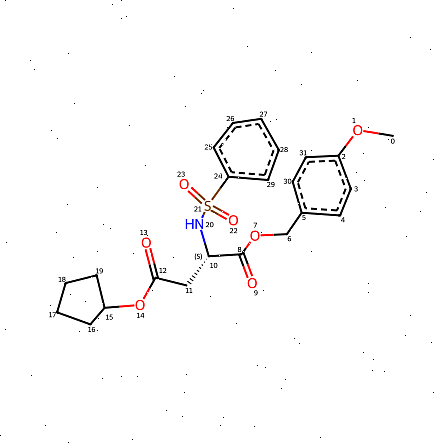 COc1ccc(COC(=O)[C@H](CC(=O)OC2CCCC2)NS(=O)(=O)c2ccccc2)cc1